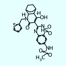 CS(=O)(=O)Nc1ccc2c(c1)S(=O)(=O)NC(C1=C(O)[C@@H]3C4CCC(CC4)[C@@H]3N(Cc3cccs3)C1=O)=N2